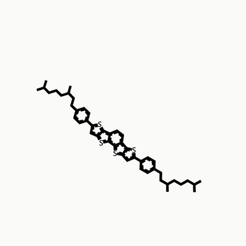 CC(C)CCCC(C)CCc1ccc(-c2cc3sc4c(ccc5c6sc(-c7ccc(CCC(C)CCCC(C)C)cc7)cc6sc54)c3s2)cc1